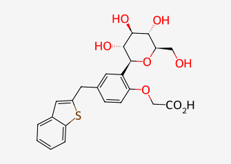 O=C(O)COc1ccc(Cc2cc3ccccc3s2)cc1[C@@H]1O[C@H](CO)[C@@H](O)[C@H](O)[C@H]1O